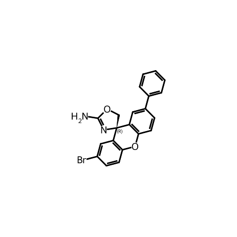 NC1=N[C@@]2(CO1)c1cc(Br)ccc1Oc1ccc(-c3ccccc3)cc12